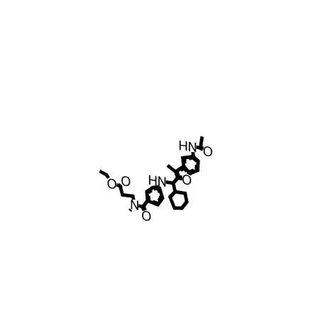 CCOC(=O)CCN(C)C(=O)c1ccc(NC(c2oc3ccc(NC(C)=O)cc3c2C)C2CCCCC2)cc1